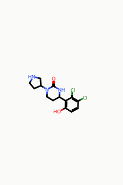 O=C1NC(c2c(O)ccc(Cl)c2Cl)CCN1C1CCNC1